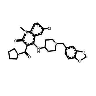 Cn1c(=O)c(C(=O)N2CCCC2)c(NC2CCN(Cc3ccc4c(c3)OCO4)CC2)c2cc(Cl)ccc21